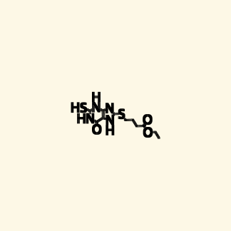 CCOC(=O)CCCSc1nc2c([nH]1)C(=O)NC(S)N2